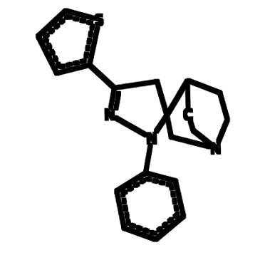 c1ccc(N2N=C(c3cccs3)CC23CN2CCC3CC2)cc1